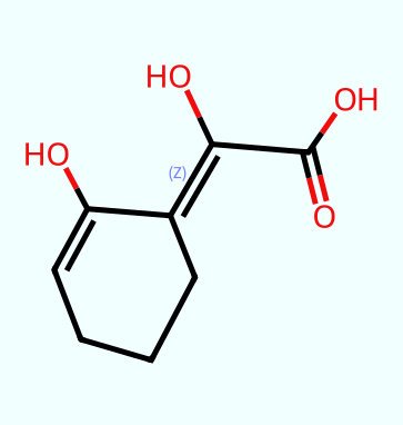 O=C(O)/C(O)=C1\CCCC=C1O